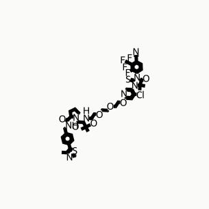 Cc1ncsc1-c1ccc(CNC(=O)C2CCCN2C(=O)[C@@H](NC(=O)COCCOCCOc2cc(Cl)c(N3C(=S)N(c4ccc(C#N)c(C(F)(F)F)c4F)C(=O)C3(C)C)cn2)C(C)(C)C)cc1